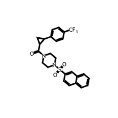 O=C(C1CC1c1ccc(C(F)(F)F)cc1)N1CCN(S(=O)(=O)c2ccc3ccccc3c2)CC1